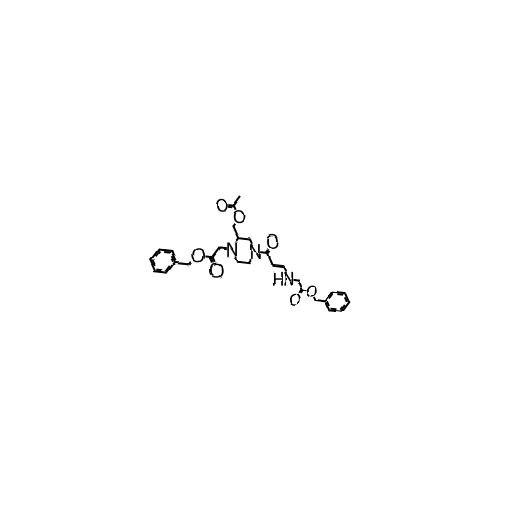 CC(=O)OCC1CN(C(=O)CCNCC(=O)OCc2ccccc2)CCN1CC(=O)OCc1ccccc1